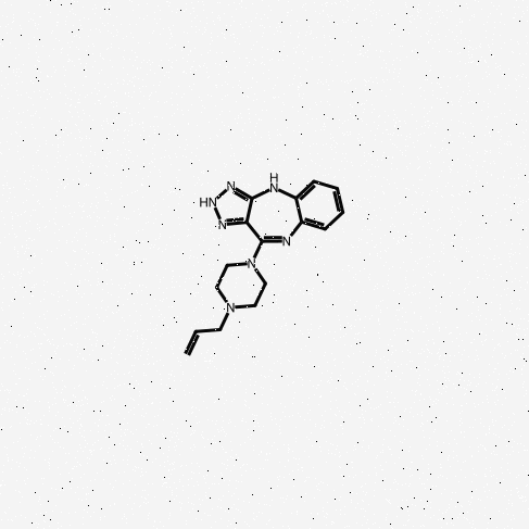 C=CCN1CCN(C2=Nc3ccccc3Nc3n[nH]nc32)CC1